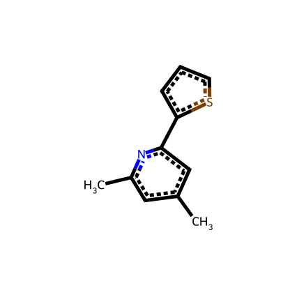 Cc1cc(C)nc(-c2cccs2)c1